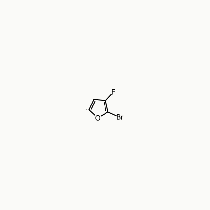 Fc1c[c]oc1Br